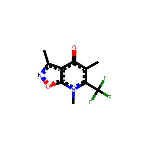 Cc1c(C(F)(F)F)n(C)c2onc(C)c2c1=O